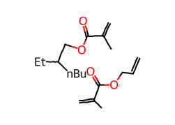 C=C(C)C(=O)OCC(CC)CCCC.C=CCOC(=O)C(=C)C